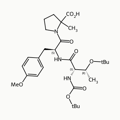 COc1ccc(C[C@H](NC(=O)[C@@H](NC(=O)OC(C)(C)C)[C@@H](C)OC(C)(C)C)C(=O)N2CCCC2(C)C(=O)O)cc1